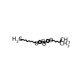 C=CCCCCCCCCCOc1ccc(OC(=O)c2ccc(OCCCCC[C@@H](C)CC)cc2)cc1